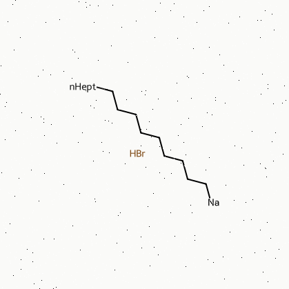 Br.CCCCCCCCCCCCCCC[CH2][Na]